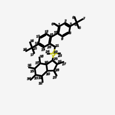 Cc1cc(C(C)(C)C)ccc1-c1ccc(C(C)(C)C)cc1CS(C)(C)C1C(C)C(C)C2C(C)C(C)C(C)C(C)C21